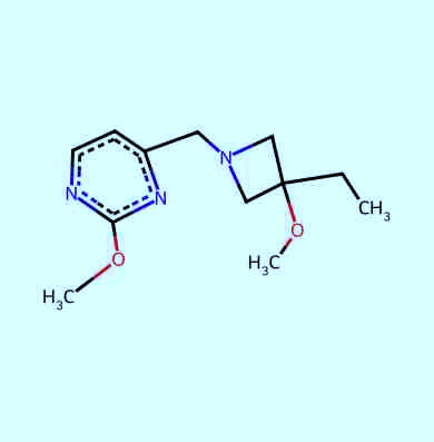 CCC1(OC)CN(Cc2ccnc(OC)n2)C1